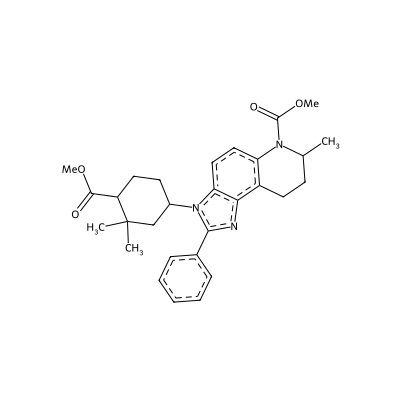 COC(=O)C1CCC(n2c(-c3ccccc3)nc3c4c(ccc32)N(C(=O)OC)C(C)CC4)CC1(C)C